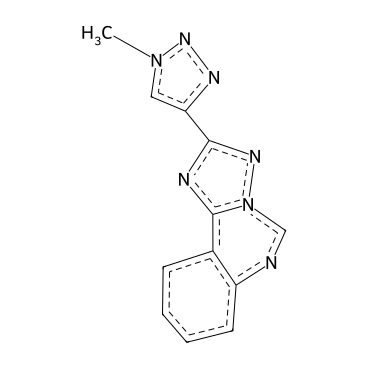 Cn1cc(-c2nc3c4ccccc4ncn3n2)nn1